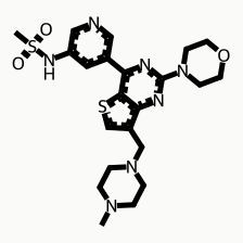 CN1CCN(Cc2csc3c(-c4cncc(NS(C)(=O)=O)c4)nc(N4CCOCC4)nc23)CC1